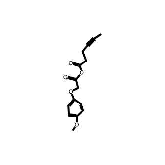 CC#CCCC(=O)OC(=O)COc1ccc(OC)cc1